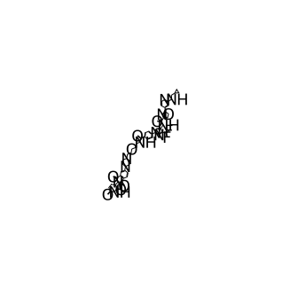 O=C1CCC(N2C(=O)c3ccc(N4CCN(CCOCCNC(=O)c5ccc(-n6cc(NC(=O)c7coc(-c8ccnc(NCC9CC9)c8)n7)c(C(F)F)n6)cc5)CC4)cc3C2=O)C(=O)N1